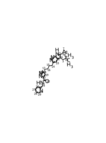 CC(C)Cc1c(C2CC2)[nH]c2nnc(CCCCn3cc(C(=O)NCc4ccccn4)nn3)cc12